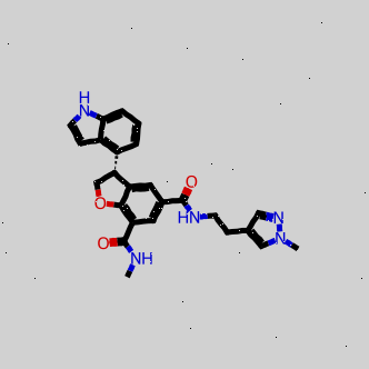 CNC(=O)c1cc(C(=O)NCCc2cnn(C)c2)cc2c1OC[C@@H]2c1cccc2[nH]ccc12